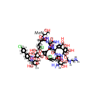 CN[C@H](CC(C)O)C(=O)N[C@H]1C(=O)N[C@@H](CC(N)=O)C(=O)N[C@H]2C(=O)N[C@H]3C(=O)N[C@H](C(=O)N[C@H](C(=O)OCC(=O)N(C)CCN(C)C)c4cc(O)ccc4-c4cc3ccc4C(O)O)[C@H](O[C@H]3C[C@](C)(N)[C@@H](O)[C@H](C)O3)c3ccc(c(Cl)c3)Oc3cc2cc(c3O[C@@H]2O[C@H](CO)[C@@H](O)[C@H](O)[C@H]2O[C@H]2C[C@](C)(NCc3ccc(-c4ccc(Cl)cc4)cc3)[C@@H](O)[C@H](C)O2)Oc2ccc(cc2Cl)[C@H]1O